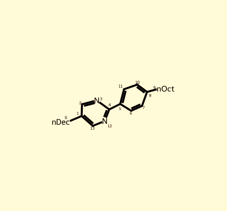 CCCCCCCCCCc1cnc(-c2ccc(CCCCCCCC)cc2)nc1